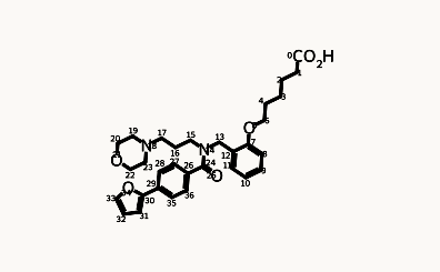 O=C(O)CCCCCOc1ccccc1CN(CCCN1CCOCC1)C(=O)c1ccc(-c2ccco2)cc1